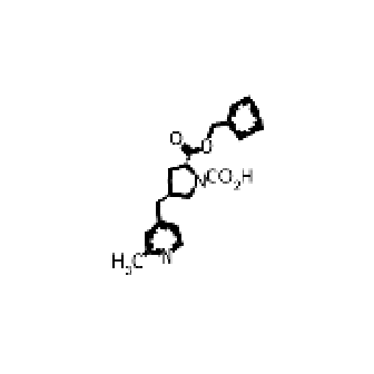 Cc1cc(C[C@H]2C[C@H](C(=O)OCc3ccccc3)N(C(=O)O)C2)ccn1